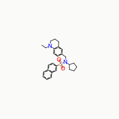 CCN1CCCc2cc(CN(C3CCCC3)S(=O)(=O)c3ccc4ccccc4c3)ccc21